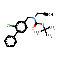 C#CCN(Cc1ccc(-c2ccccc2)c(Cl)c1)C(=O)OC(C)(C)C